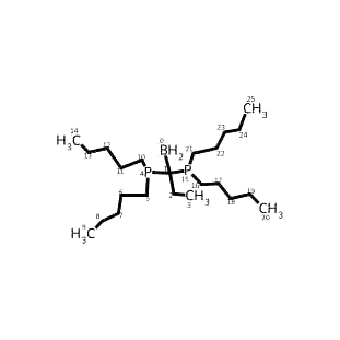 BC(CC)(P(CCCCC)CCCCC)P(CCCCC)CCCCC